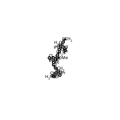 C=CC(=O)N1CCN(c2nc(=O)n(-c3c(C(C)C)ccc(/C=C\C(=O)N4CCN(c5nc(=O)n(-c6c(CC)cc(/C=C\C(=O)N7CCN(c8nc(=O)n(-c9c(C)cccc9C(C)C)c9nc(-c%10nc(N)ccc%10Cl)c(Cl)cc89)[C@@H](C)C7)cc6CC)c6nc(-c7ccccc7F)c(Cl)cc56)C(C(=O)OC)C4)c3C)c3nc(-c4nc(N)ccc4F)c(Cl)cc23)[C@@H](C)C1